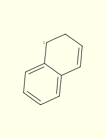 [C]1CC=Cc2ccccc21